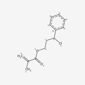 C=C(C)C(=O)OCCC(Cl)c1ccccc1